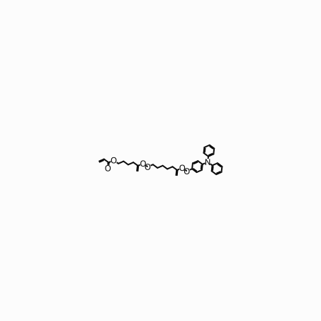 C=CC(=O)OCCCCC(=C)OOCCCCCC(=C)OOc1ccc(N(c2ccccc2)c2ccccc2)cc1